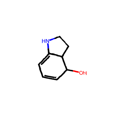 OC1C=CC=C2NCCC21